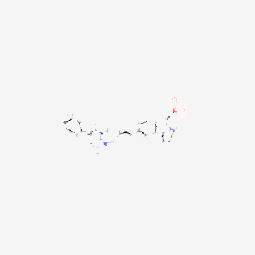 COC(=O)[C@H](Cc1ccc(C=CCN2CCC(c3ccccc3)CC2)cc1)n1cccc1